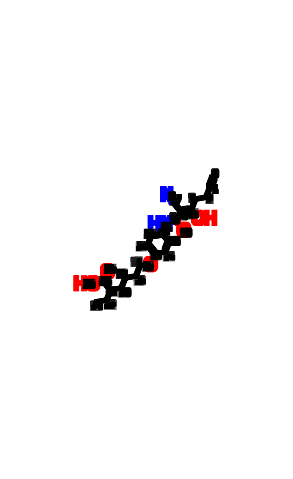 C#CCC/C(O)=C(\C#N)C(=O)Nc1ccc(OCCCCC(CC)C(=O)O)cc1